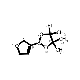 CCC1(C)OB(C2=CCOC2)OC1(C)C